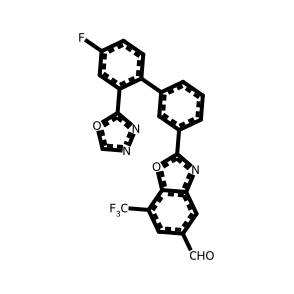 O=Cc1cc(C(F)(F)F)c2oc(-c3cccc(-c4ccc(F)cc4-c4nnco4)c3)nc2c1